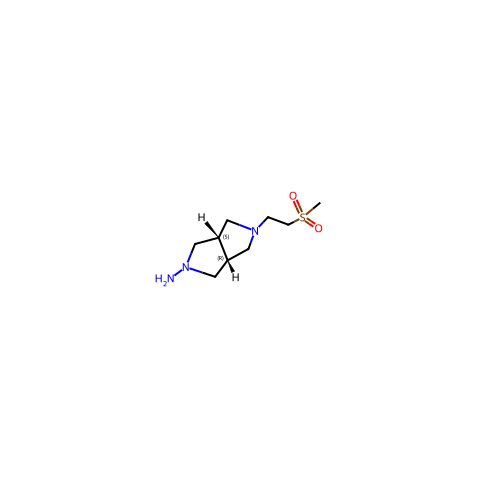 CS(=O)(=O)CCN1C[C@H]2CN(N)C[C@H]2C1